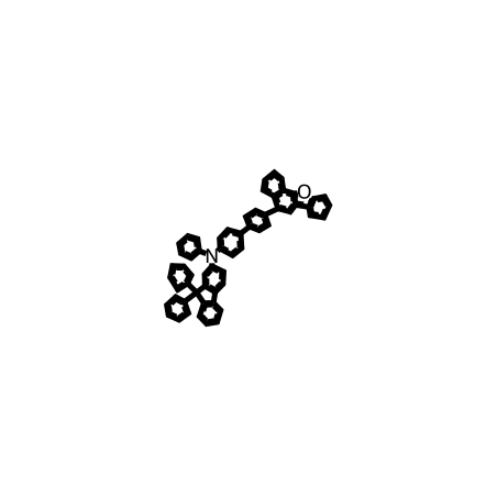 c1ccc(N(c2ccc(-c3ccc(-c4cc5c6ccccc6oc5c5ccccc45)cc3)cc2)c2ccc3c(c2)C(c2ccccc2)(c2ccccc2)c2ccccc2-3)cc1